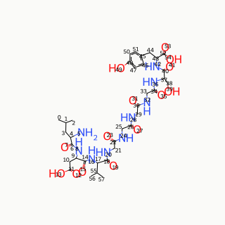 CC(C)CC(N)C(=O)NC(CC(=O)O)C(=O)NC(C(=O)NCC(=O)NCC(=O)NCC(=O)NCC(=O)NC(CO)C(=O)NC(Cc1ccc(O)cc1)C(=O)O)C(C)C